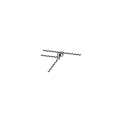 CCCCCCCCCCCCCN(CCCCCCCCCCCCC)OC(=O)CN(CCCCCCCCCCCC)CCCCCCCCCCCC